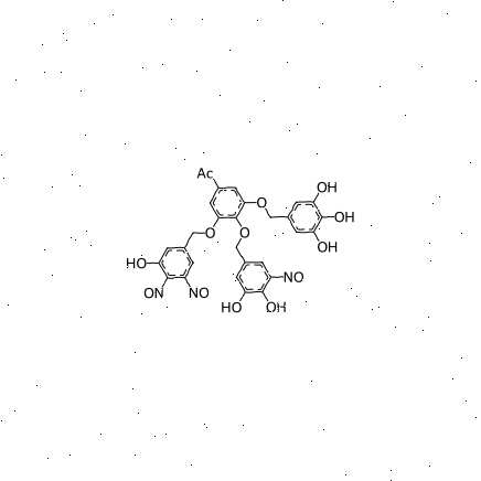 CC(=O)c1cc(OCc2cc(O)c(O)c(O)c2)c(OCc2cc(O)c(O)c(N=O)c2)c(OCc2cc(O)c(N=O)c(N=O)c2)c1